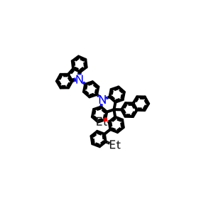 CCc1ccccc1-c1cccc(C2(c3ccc4ccccc4c3)c3ccccc3N(c3ccc(-n4c5ccccc5c5ccccc54)cc3)c3ccccc32)c1CC